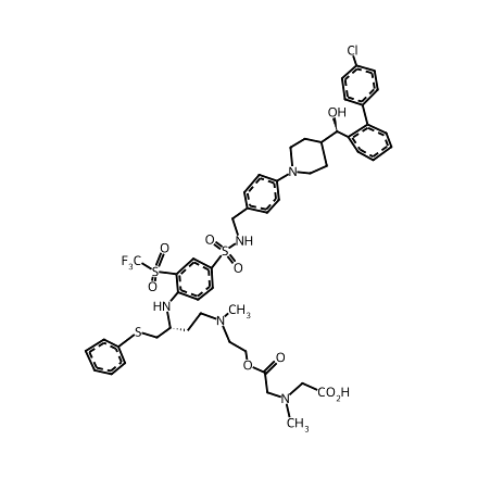 CN(CCOC(=O)CN(C)CC(=O)O)CC[C@H](CSc1ccccc1)Nc1ccc(S(=O)(=O)NCc2ccc(N3CCC([C@@H](O)c4ccccc4-c4ccc(Cl)cc4)CC3)cc2)cc1S(=O)(=O)C(F)(F)F